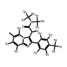 [2H]c1c([2H])c(C([2H])([2H])[2H])c([2H])c([2H])c1-c1nc2c([2H])c([2H])c(C)c([2H])n2c1C([2H])C(=O)N(C([2H])([2H])[2H])C([2H])([2H])[2H]